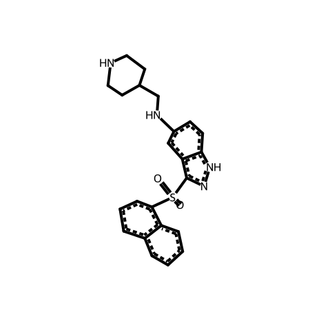 O=S(=O)(c1cccc2ccccc12)c1n[nH]c2ccc(NCC3CCNCC3)cc12